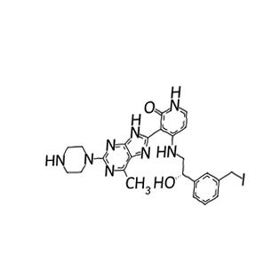 Cc1nc(N2CCNCC2)nc2[nH]c(-c3c(NC[C@@H](O)c4cccc(CI)c4)cc[nH]c3=O)nc12